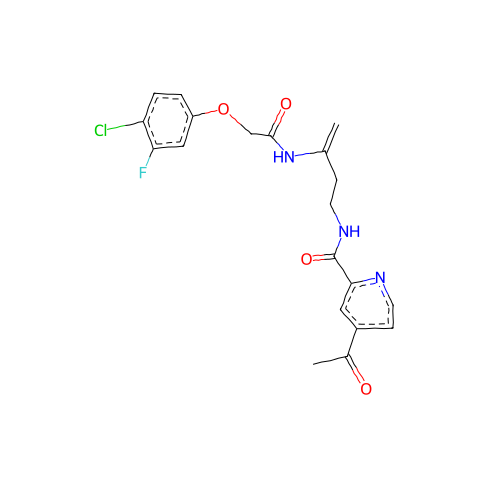 C=C(CCNC(=O)c1cc(C(C)=O)ccn1)NC(=O)COc1ccc(Cl)c(F)c1